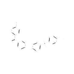 COc1ccc(C(C)(C)c2ccc(Oc3ccc(C(=O)c4ccc(C)cc4)cc3)cc2)cc1